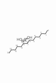 CCCCCCCCCCCCCC.N.O=S(=O)(O)O